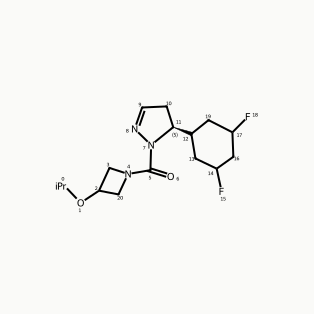 CC(C)OC1CN(C(=O)N2N=CC[C@H]2C2CC(F)CC(F)C2)C1